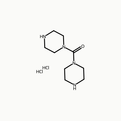 Cl.Cl.O=C(N1CCNCC1)N1CCNCC1